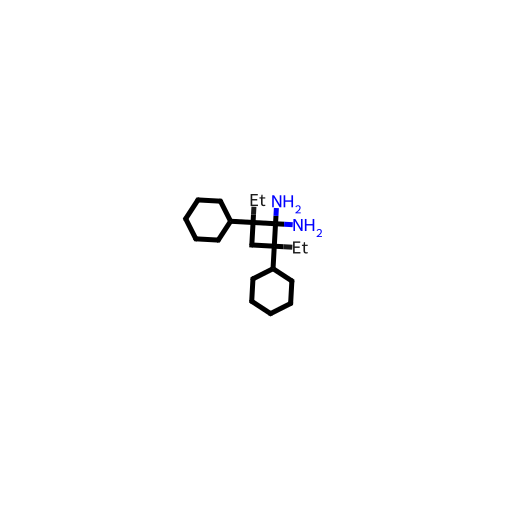 CCC1(C2CCCCC2)CC(CC)(C2CCCCC2)C1(N)N